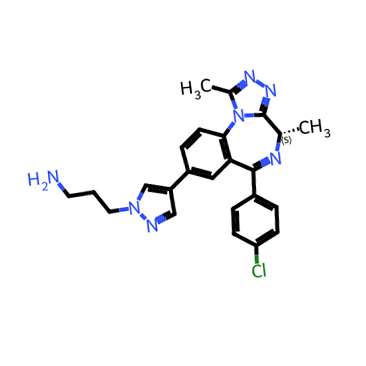 Cc1nnc2n1-c1ccc(-c3cnn(CCCN)c3)cc1C(c1ccc(Cl)cc1)=N[C@H]2C